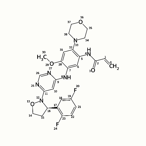 C=CC(=O)Nc1cc(Nc2cc(N3OCC[C@@H]3c3cc(F)ccc3F)ncn2)c(OC)cc1N1CCOCC1